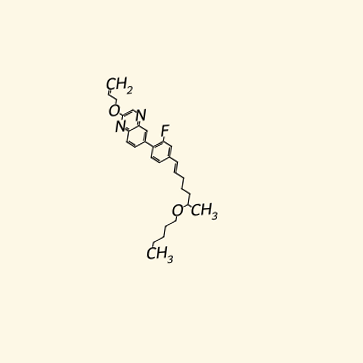 C=CCOc1cnc2cc(-c3ccc(C=CCCCC(C)OCCCCC)cc3F)ccc2n1